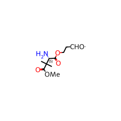 COC(=O)C(C)(C)[C@H](N)C(=O)OCC[C]=O